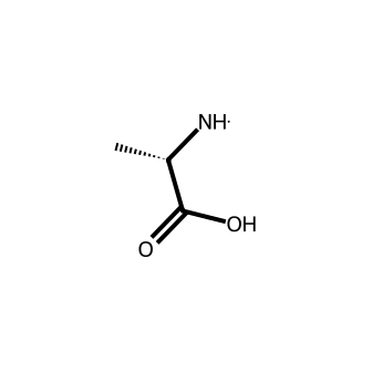 C[C@H]([NH])C(=O)O